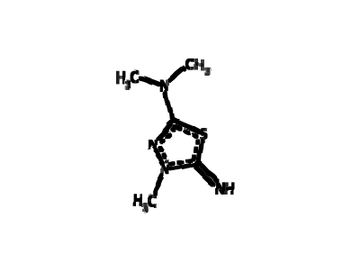 CN(C)c1nn(C)c(=N)s1